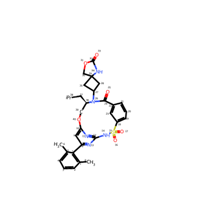 Cc1cccc(C)c1-c1cc2nc(n1)NS(=O)(=O)c1cccc(c1)C(=O)N(C1CC3(COC(=O)N3)C1)[C@H](CC(C)C)CO2